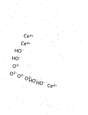 [Ce+4].[Ce+4].[Ce+4].[O-2].[O-2].[O-2].[O-2].[OH-].[OH-].[OH-].[OH-]